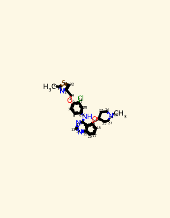 Cc1nc(COc2ccc(Nc3ncnc4cccc(OC5CCN(C)CC5)c34)cc2Cl)cs1